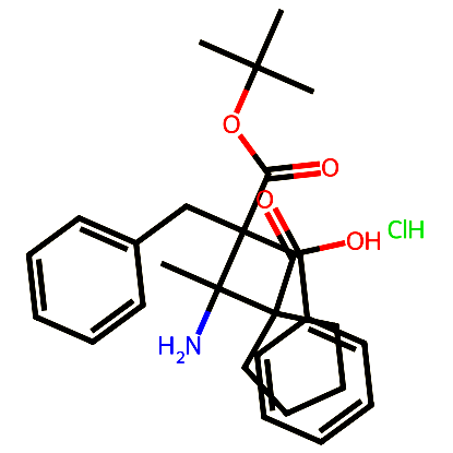 CC(C)(C)OC(=O)C(Cc1ccccc1)(Cc1ccccc1)C(C)(N)C1(C(=O)O)CCCC1.Cl